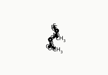 CCCOC(CO[C@@H]1CCC[C@H](OCc2nc(-c3cccc(OC(F)(F)F)c3)oc2C)C1)C(=O)O